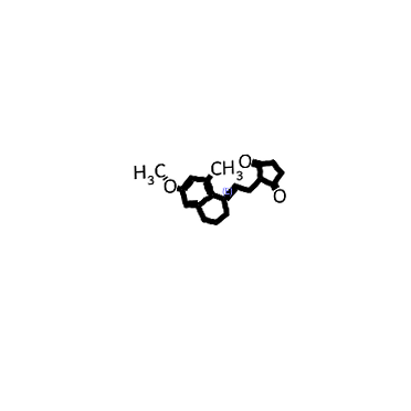 COc1cc(C)c2c(c1)CCC/C2=C\CC1C(=O)CCC1=O